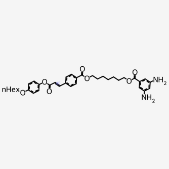 CCCCCCOc1ccc(OC(=O)/C=C/c2ccc(C(=O)OCCCCCCCOC(=O)c3cc(N)cc(N)c3)cc2)cc1